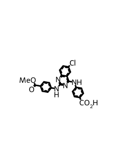 COC(=O)c1ccc(Nc2nc(Nc3ccc(C(=O)O)cc3)c3cc(Cl)ccc3n2)cc1